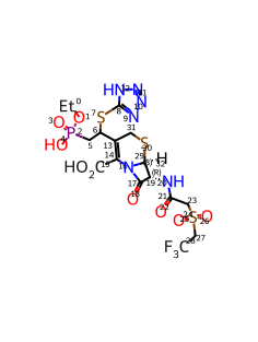 CCOP(=O)(O)CC(Sc1nnn[nH]1)C1=C(C(=O)O)N2C(=O)[C@@H](NC(=O)CS(=O)(=O)CC(F)(F)F)[C@@H]2SC1